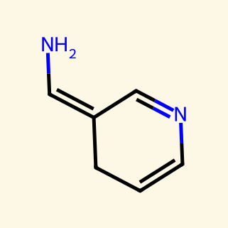 NC=C1C=NC=CC1